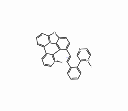 I[n+]1ccncc1-c1ccccc1/C=C/c1ccc2oc3cccc4c5ccc[n+](I)c5c1c2c34